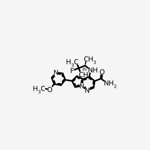 COc1cncc(-c2cc3c(N[C@H](C)C(C)(C)F)c(C(N)=O)cnn3c2)c1